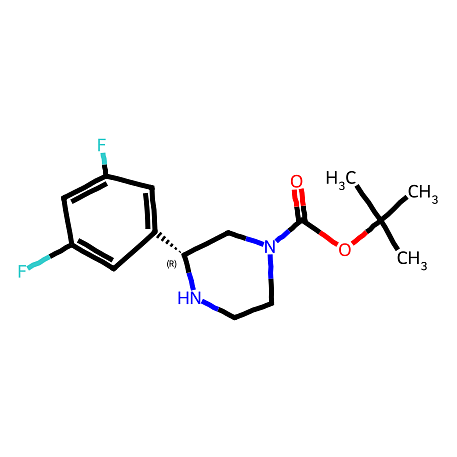 CC(C)(C)OC(=O)N1CCN[C@H](c2cc(F)cc(F)c2)C1